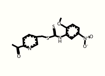 COc1ccc([N+](=O)[O-])cc1NC(=S)SCc1ccc(C(C)=O)nc1